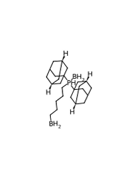 BCCCCC[PH](B)(C12CC3C[C@H](C1)C[C@@H](C3)C2)C12CC3C[C@H](C1)C[C@@H](C3)C2